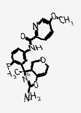 COc1ccc(C(=O)Nc2ccc(F)c([C@@]3(C)N=C(N)OC4=CCOCC43)c2)nc1